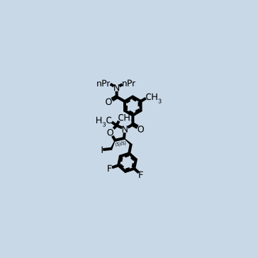 CCCN(CCC)C(=O)c1cc(C)cc(C(=O)N2[C@@H](Cc3cc(F)cc(F)c3)[C@@H](CI)OC2(C)C)c1